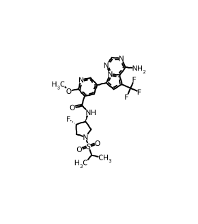 COc1ncc(-c2cc(C(F)(F)F)c3c(N)ncnn23)cc1C(=O)N[C@H]1CN(S(=O)(=O)C(C)C)C[C@@H]1F